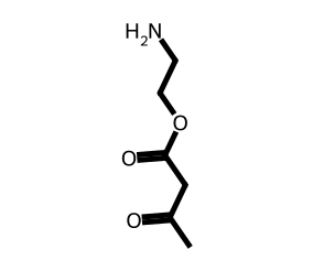 CC(=O)CC(=O)OCCN